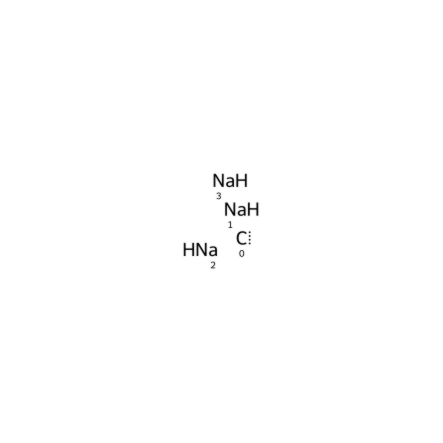 [C].[NaH].[NaH].[NaH]